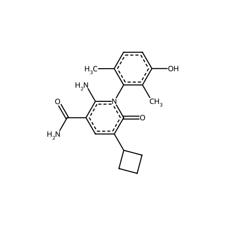 Cc1ccc(O)c(C)c1-n1c(N)c(C(N)=O)cc(C2CCC2)c1=O